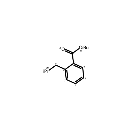 CC(C)COC(=O)c1ccccc1CC(C)C